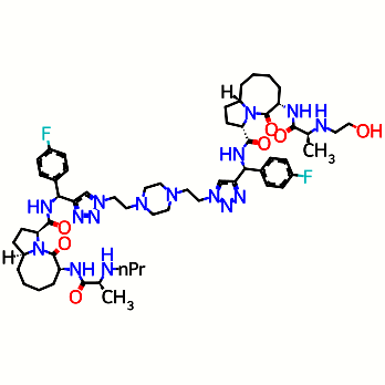 CCCN[C@@H](C)C(=O)N[C@H]1CCCC[C@H]2CC[C@@H](C(=O)N[C@@H](c3ccc(F)cc3)c3cn(CCN4CCN(CCn5cc([C@@H](NC(=O)[C@@H]6CC[C@@H]7CCCC[C@H](NC(=O)[C@H](C)NCCO)C(=O)N76)c6ccc(F)cc6)nn5)CC4)nn3)N2C1=O